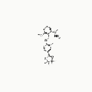 COc1cccc(N(C)N)c1COc1ccc(B2OC(C)(C)C(C)(C)O2)cc1C